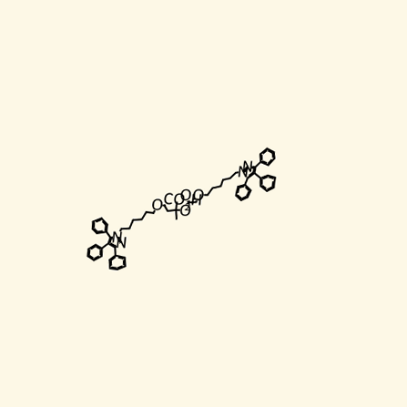 CC(C)(CC(OCCCCCCn1nc(-c2ccccc2)c(-c2ccccc2)c1-c1ccccc1)C(=O)O)OC(=O)COCCCCCCn1nc(-c2ccccc2)c(-c2ccccc2)c1-c1ccccc1